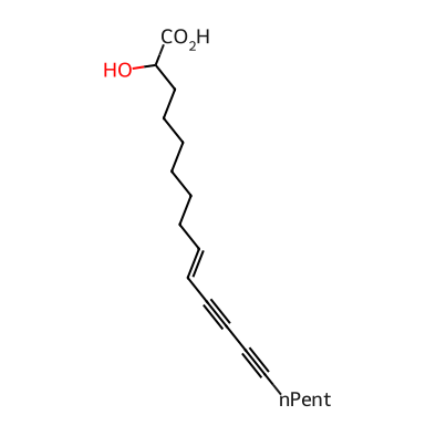 CCCCCC#CC#C/C=C/CCCCCCC(O)C(=O)O